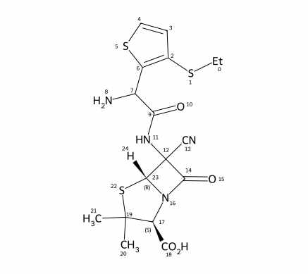 CCSc1ccsc1C(N)C(=O)NC1(C#N)C(=O)N2[C@@H](C(=O)O)C(C)(C)S[C@@H]21